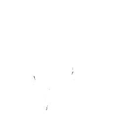 O=C(N[C@H]1C/C=C\C[C@@H]2CC[C@@H](C(=O)O)N2C1=O)c1cccc(Cl)c1